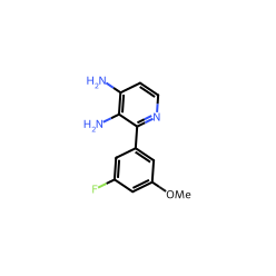 COc1cc(F)cc(-c2nccc(N)c2N)c1